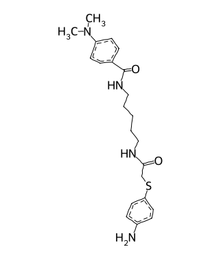 CN(C)c1ccc(C(=O)NCCCCCNC(=O)CSc2ccc(N)cc2)cc1